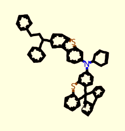 C1=CCC(N(c2ccc3c(c2)Sc2ccccc2C32c3ccccc3-c3ccccc32)c2ccc3c(c2)sc2ccc(C(CCc4ccccc4)c4ccccc4)cc23)C=C1